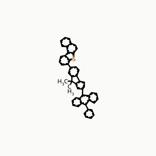 CC1(C)c2cc(-c3c4ccccc4c(-c4ccccc4)c4ccccc34)ccc2-c2ccc(-c3cccc4c3sc3ccc5ccccc5c34)cc21